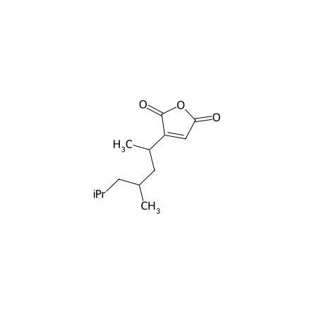 CC(C)CC(C)CC(C)C1=CC(=O)OC1=O